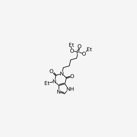 CCOP(=O)(CCCCn1c(=O)c2[nH]cnc2n(CC)c1=O)OCC